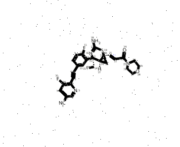 N#Cc1cnc(C#Cc2ccc(F)c([C@@]3(CF)N=C(N)S[C@@]4(/C=C/C(=O)N5CCOCC5)C[C@H]43)c2)c(F)c1